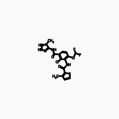 Cc1ccsc1C(=O)Nc1c(OC(F)F)ccc(C(=O)NC2=NNNN2C)c1Cl